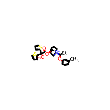 CCC(Oc1cccc(C)c1)[N+]12CCC(CC1)C(OC(=O)C(O)(c1cccs1)c1cccs1)C2